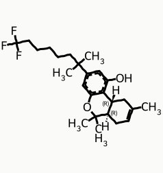 CC1=CC[C@@H]2[C@@H](C1)c1c(O)cc(C(C)(C)CCCCCC(F)(F)F)cc1OC2(C)C